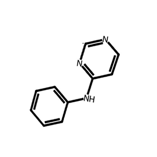 [c]1nccc(Nc2ccccc2)n1